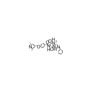 Cc1cc(COc2ccc(C(=O)N[C@H](C(N)=O)C(O)N3CCN(Cc4ccccc4)C3)cc2)cc(C)n1